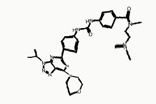 CC(C)n1nnc2c(N3CCOCC3)nc(-c3ccc(NC(=O)Nc4ccc(C(=O)N(C)CCN(C)C)cc4)cc3)nc21